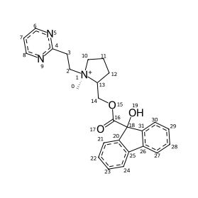 C[N@+]1(CCc2ncccn2)CCCC1COC(=O)C1(O)c2ccccc2-c2ccccc21